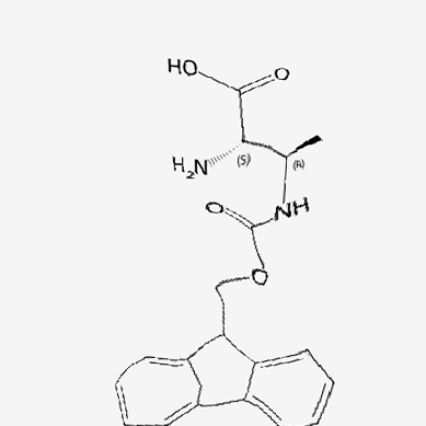 C[C@@H](NC(=O)OCC1c2ccccc2-c2ccccc21)[C@H](N)C(=O)O